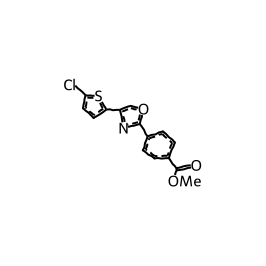 COC(=O)c1ccc(-c2nc(-c3ccc(Cl)s3)co2)cc1